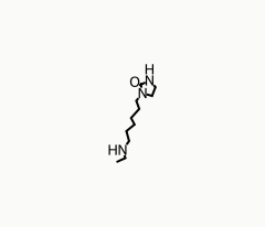 CCNCCCCCCN1CCNC1=O